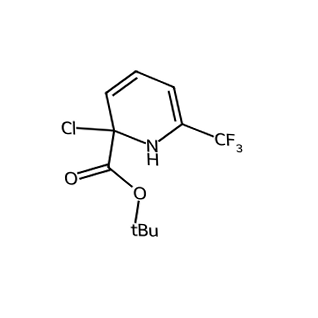 CC(C)(C)OC(=O)C1(Cl)C=CC=C(C(F)(F)F)N1